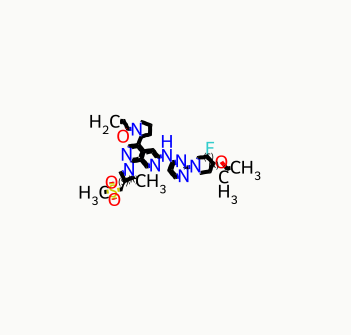 C=CC(=O)N1CCCC1c1cnc(N2C[C@H](CS(C)(=O)=O)[C@H]2C)c2cnc(Nc3ccnc(N4CC[C@@H](OC(C)C)[C@@H](F)C4)n3)cc12